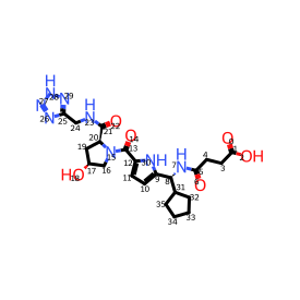 O=C(O)CCC(=O)N[C@@H](c1ccc(C(=O)N2C[C@@H](O)C[C@H]2C(=O)NCc2nn[nH]n2)[nH]1)C1CCCC1